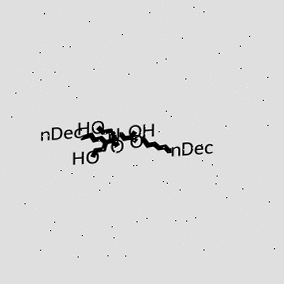 CCCCCCCCCCCCCCCCOC(O)CCN(CCO)C(=O)C(CCO)CCCCCCCCCCCCCC